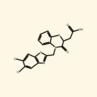 O=C(O)CC1Sc2ccccc2N(Cc2nc3cc(Cl)c(Cl)cc3s2)C1=O